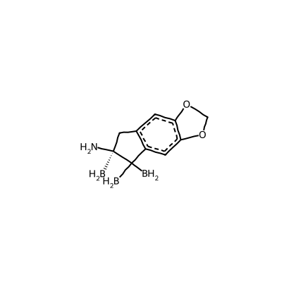 BC1(B)c2cc3c(cc2C[C@]1(B)N)OCO3